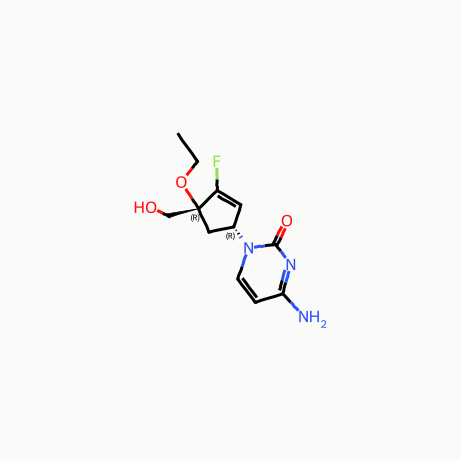 CCO[C@@]1(CO)C[C@@H](n2ccc(N)nc2=O)C=C1F